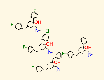 CN(C)CC1CC(Cc2ccc(F)cc2)CCC1(O)Cc1ccccc1.CN(C)CC1CC(Cc2ccc(F)cc2)CCC1(O)c1ccc(Cl)cc1.CN(C)CC1CC(Cc2ccc(F)cc2)CCC1(O)c1ccccc1.Cc1cc(C2(O)CCC(Cc3ccc(F)cc3)CC2CN(C)C)ccc1F